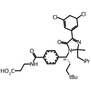 CC(C)CC1(C)N=C(C2=CC(Cl)CC(Cl)=C2)C(=O)N1[C@H](CCC(C)(C)C)c1ccc(C(=O)NCCC(=O)O)cc1